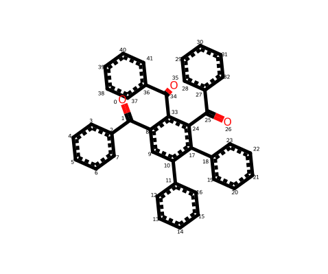 O=C(c1ccccc1)c1cc(-c2ccccc2)c(-c2ccccc2)c(C(=O)c2ccccc2)c1C(=O)c1ccccc1